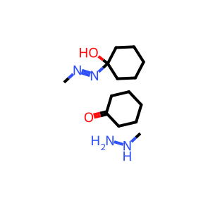 CN=NC1(O)CCCCC1.CNN.O=C1CCCCC1